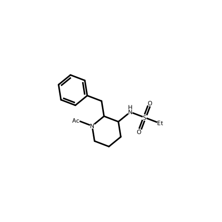 CCS(=O)(=O)NC1CCCN(C(C)=O)C1Cc1ccccc1